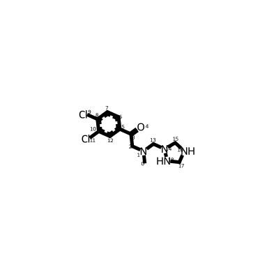 CN(CC(=O)c1ccc(Cl)c(Cl)c1)CN1CNCN1